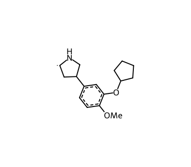 COc1ccc(C2C[CH]NC2)cc1OC1CCCC1